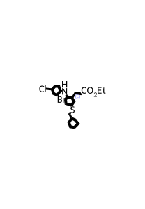 CCOC(=O)/C=C/c1cc(SCc2ccccc2)ccc1Nc1ccc(Cl)cc1Br